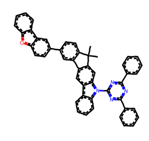 CC1(C)c2ccc(-c3ccc4oc5ccccc5c4c3)cc2-c2cc3c4ccccc4n(-c4nc(-c5ccccc5)nc(-c5ccccc5)n4)c3cc21